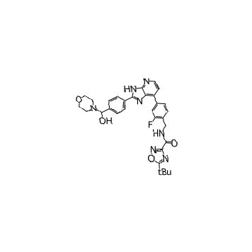 CC(C)(C)c1nc(C(=O)NCc2ccc(-c3ccnc4[nH]c(-c5ccc(C(O)N6CCOCC6)cc5)nc34)cc2F)no1